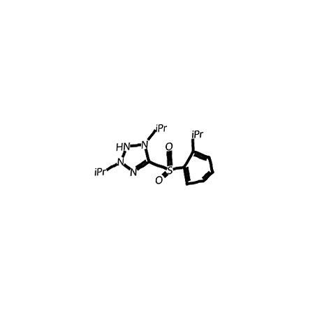 CC(C)c1ccccc1S(=O)(=O)C1=NN(C(C)C)NN1C(C)C